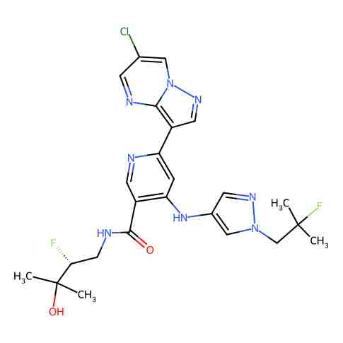 CC(C)(F)Cn1cc(Nc2cc(-c3cnn4cc(Cl)cnc34)ncc2C(=O)NC[C@@H](F)C(C)(C)O)cn1